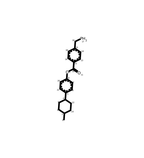 CC1CCC(c2ccc(OC(=O)c3ccc(CP)cc3)cc2)CC1